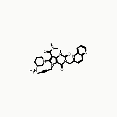 CC#CCn1c(N2CCC[C@@H](N)C2)c(C(=O)N(C)C)c2c1c(=O)n(Cc1ccc3ncccc3n1)c(=O)n2C